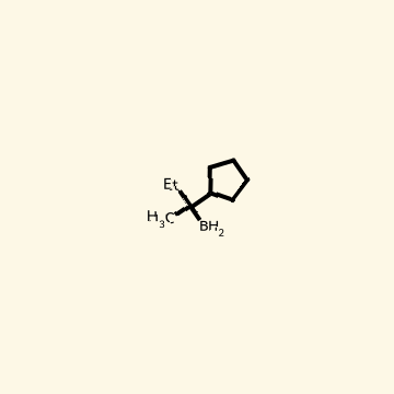 BC(C)(CC)C1CCCC1